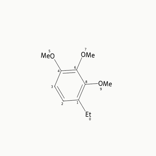 [CH2]Cc1ccc(OC)c(OC)c1OC